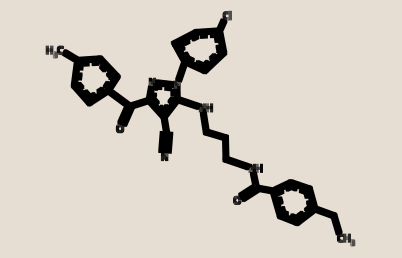 CCc1ccc(C(=O)NCCCNc2c(C#N)c(C(=O)c3ccc(C)cc3)nn2-c2ccc(Cl)cc2)cc1